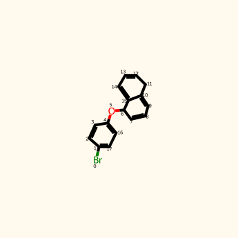 Brc1ccc(OC2C=CC=C3CC=CC=C32)cc1